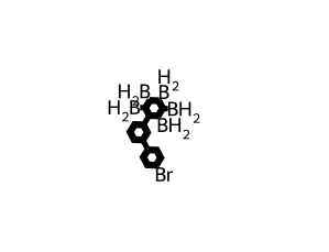 Bc1c(B)c(B)c(-c2cccc(-c3ccc(Br)cc3)c2)c(B)c1B